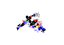 CN(C)CCOc1ccc(/C(=C(/CCCl)c2ccccc2)c2ccccc2)cc1.C[C@]12C=CC(=O)C=C1CC[C@@H]1[C@@H]2CC[C@]2(C)OC(=O)CC[C@@H]12.NC(=O)c1csc([C@@H]2O[C@H](CO)[C@@H](O)[C@H]2O)n1.Nc1n[n+]([O-])c2ccccc2[n+]1[O-].Nc1nc(=S)c2[nH]cnc2[nH]1.S=P(N1CC1)(N1CC1)N1CC1.c1ncc2ncsc2n1